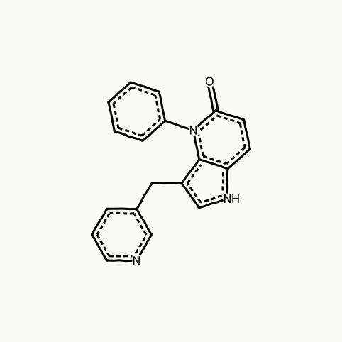 O=c1ccc2[nH]cc(Cc3cccnc3)c2n1-c1ccccc1